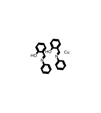 Oc1ccccc1C=Nc1ccccc1.Oc1ccccc1C=Nc1ccccc1.[Cu]